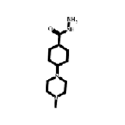 CN1CCN(C2CCC(C(=O)NN)CC2)CC1